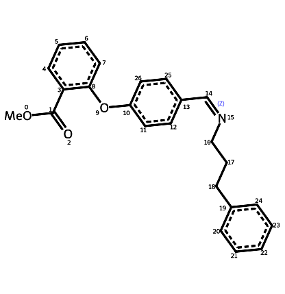 COC(=O)c1ccccc1Oc1ccc(/C=N\CCCc2ccccc2)cc1